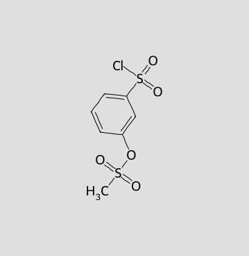 CS(=O)(=O)Oc1cccc(S(=O)(=O)Cl)c1